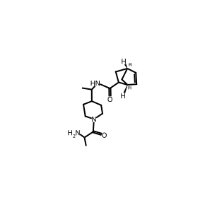 CC(N)C(=O)N1CCC(C(C)NC(=O)C2C[C@@H]3C=C[C@H]2C3)CC1